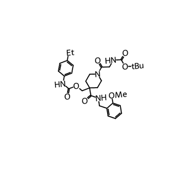 CCc1ccc(NC(=O)OCC2(C(=O)NCc3ccccc3OC)CCN(C(=O)CNC(=O)OC(C)(C)C)CC2)cc1